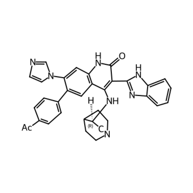 CC(=O)c1ccc(-c2cc3c(N[C@H]4CN5CCC4CC5)c(-c4nc5ccccc5[nH]4)c(=O)[nH]c3cc2-n2ccnc2)cc1